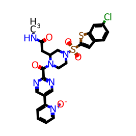 CNC(=O)CC1CN(S(=O)(=O)c2cc3ccc(Cl)cc3s2)CCN1C(=O)c1ncc(-c2cccc[n+]2[O-])cn1